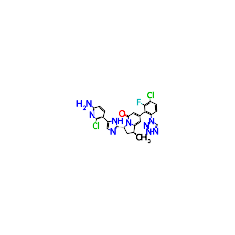 C[C@H]1C[C@H](c2ncc(-c3ccc(N)nc3Cl)[nH]2)n2c1cc(-c1c(-n3cnnn3)ccc(Cl)c1F)cc2=O